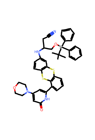 CC(C)(C)[Si](OCC(CC#N)Nc1ccc2c(c1)Sc1cccc(-c3cc(N4CCOCC4)cc(=O)[nH]3)c1S2)(c1ccccc1)c1ccccc1